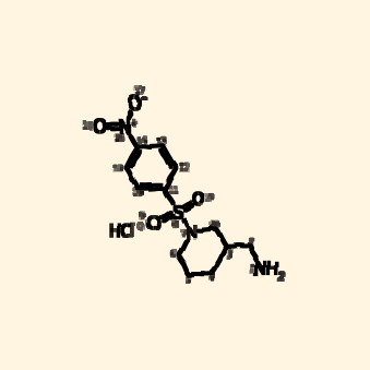 Cl.NCC1CCCN(S(=O)(=O)c2ccc([N+](=O)[O-])cc2)C1